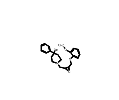 O=COc1ccccc1OCC1OC1CN1CCC(O)(c2ccccc2)CC1